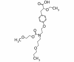 CCCOCCCN(CCOc1ccc(CC(OCC)C(=O)O)cc1)C(=O)OCCOC